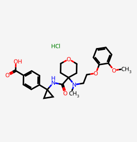 COc1ccccc1OCCN(C)C1(C(=O)NC2(c3ccc(C(=O)O)cc3)CC2)CCOCC1.Cl